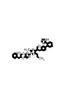 CCCCC(/N=C(/C)N(C)c1ncc(OC(Cc2ccccc2)C(=O)O)cn1)=C(/C=O)Cc1ccc(-c2ccccc2-c2nnn[nH]2)cc1